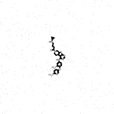 Cc1ccc(Oc2ccc(Nc3ncnc4sc5c(c34)CCN(C(=O)/C=C/CNC3CC3)C5)cc2C)cn1